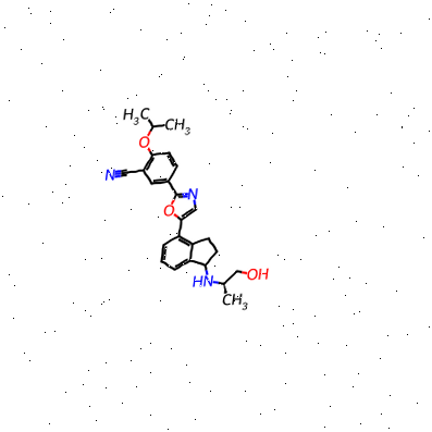 CC(C)Oc1ccc(-c2ncc(-c3cccc4c3CCC4N[C@H](C)CO)o2)cc1C#N